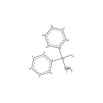 CC([SiH3])(c1ccccc1)c1ccccc1